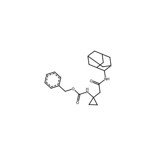 O=C(CC1(NC(=O)OCc2ccccc2)CC1)NC1C2CC3CC(C2)CC1C3